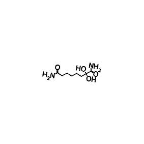 NC(=O)CCCCCC(O)(O)C(N)=O